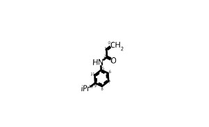 C=CC(=O)Nc1cccc(C(C)C)c1